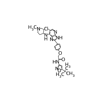 CN1CCC(Nc2c(Cl)cnc3[nH]c(-c4ccc(OCC(=O)Nc5cc(C(C)(C)C)on5)cc4)nc23)CC1